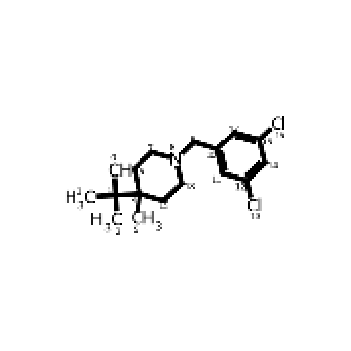 CC(C)(C)C1(C)CCN(Cc2cc(Cl)cc(Cl)c2)CC1